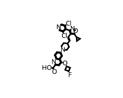 O=C(O)c1cc(O[C@H]2C[C@@H](F)C2)c2cc(N3CCC(/C=C/c4c(-c5c(Cl)cncc5Cl)noc4C4CC4)CC3)ccc2n1